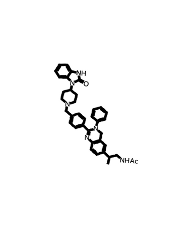 CC(=O)NCC(C)c1ccc2c(c1)CN(c1ccccc1)C(c1ccc(CN3CCC(n4c(=O)[nH]c5ccccc54)CC3)cc1)=N2